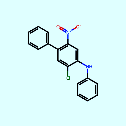 O=[N+]([O-])c1cc(Nc2ccccc2)c(Cl)cc1-c1ccccc1